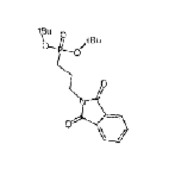 CC(C)(C)OP(=O)(CCCN1C(=O)c2ccccc2C1=O)OC(C)(C)C